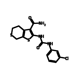 NC(=O)c1c(NC(=O)Nc2cccc(Cl)c2)sc2c1CCSC2